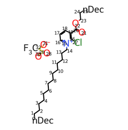 CCCCCCCCCCCCCCCCCCCCCCCC[n+]1cccc(C(=O)OCCCCCCCCCCCC)c1Cl.O=S(=O)([O-])C(F)(F)F